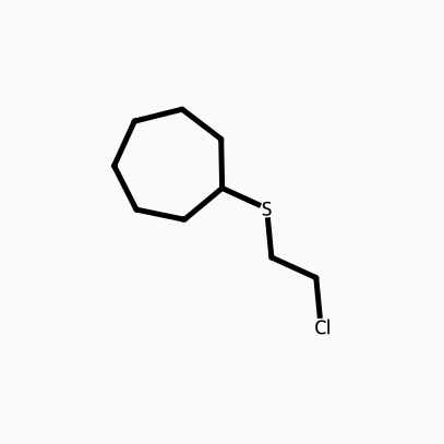 ClCCSC1CCCCCC1